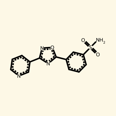 NS(=O)(=O)c1cccc(-c2nc(-c3cccnc3)no2)c1